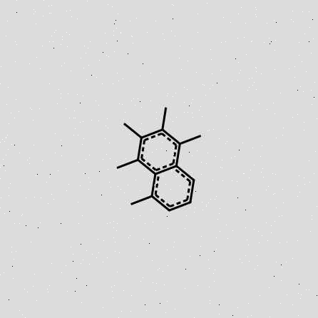 Cc1c(C)c(C)c2c(C)cccc2c1C